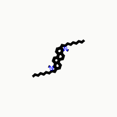 CCCCCCCc1cc2ccc3c4ccc5c(ccc6cc(CCCCCCC)n(C)c65)c4ccc3c2n1C